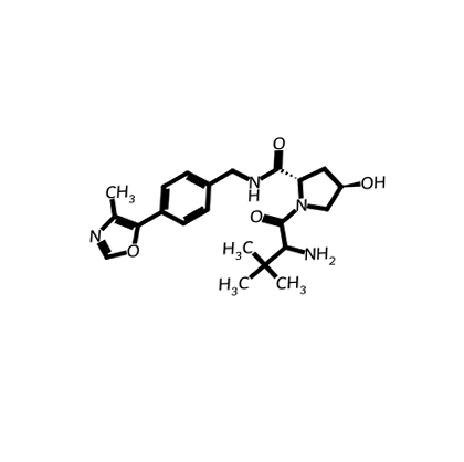 Cc1ncoc1-c1ccc(CNC(=O)[C@@H]2C[C@@H](O)CN2C(=O)C(N)C(C)(C)C)cc1